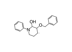 OC1C(OCc2ccccc2)[CH]CCN1c1ccccc1